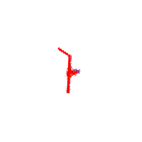 CCCCCCCCCC/C=C\CCCCCCCCCC(=O)O[C@H](COC(=O)CCCCCCCCCCCCCC)COP(=O)([O-])OCC[N+](C)(C)C